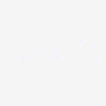 CC1(C)CC[SH](C)(N2CC(C)(n3cc(-c4ncnc5[nH]ccc45)cn3)C2)=NC1